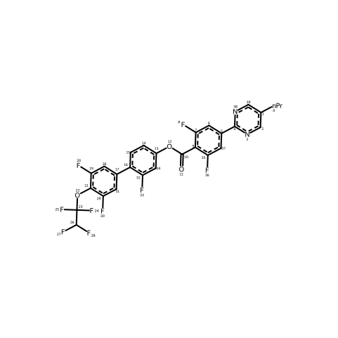 CCCc1cnc(-c2cc(F)c(C(=O)Oc3ccc(-c4cc(F)c(OC(F)(F)C(F)F)c(F)c4)c(F)c3)c(F)c2)nc1